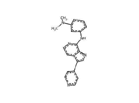 CN(C)c1cccc(Nc2nccn3c(-c4ccncc4)cnc23)c1